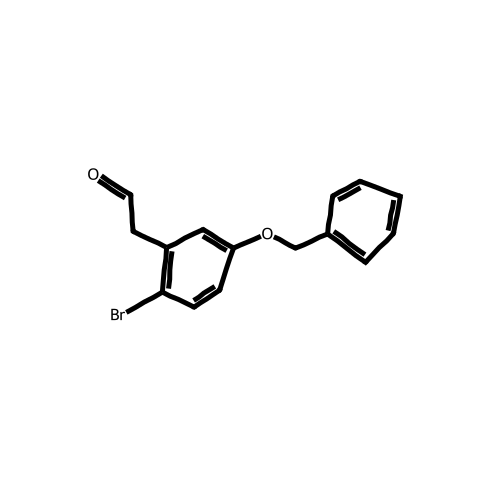 O=CCc1cc(OCc2ccccc2)ccc1Br